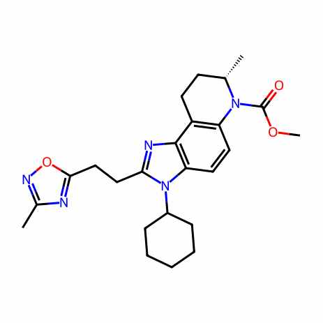 COC(=O)N1c2ccc3c(nc(CCc4nc(C)no4)n3C3CCCCC3)c2CC[C@@H]1C